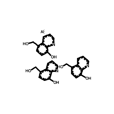 OCc1ccc(O)c2ncccc12.OCc1ccc(O)c2ncccc12.OCc1ccc(O)c2ncccc12.[Al]